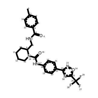 Cc1ccc(C(=O)NCC2CCCCN2C(=O)Nc2ccc(-c3noc(C(F)(F)F)n3)cc2)cc1